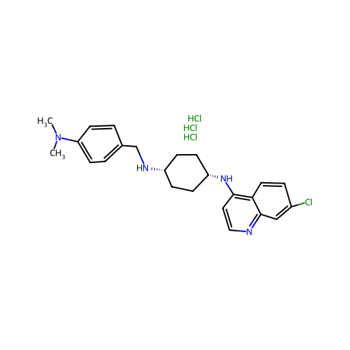 CN(C)c1ccc(CN[C@H]2CC[C@@H](Nc3ccnc4cc(Cl)ccc34)CC2)cc1.Cl.Cl.Cl